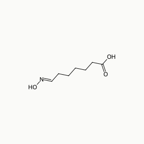 O=C(O)CCCCC/C=N/O